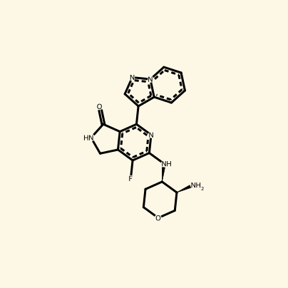 N[C@H]1COCC[C@H]1Nc1nc(-c2cnn3ccccc23)c2c(c1F)CNC2=O